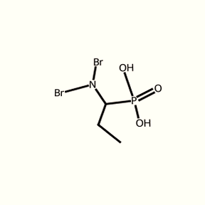 CCC(N(Br)Br)P(=O)(O)O